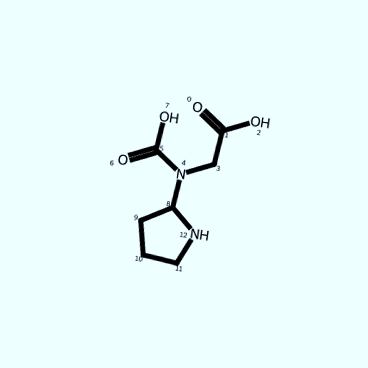 O=C(O)CN(C(=O)O)C1CCCN1